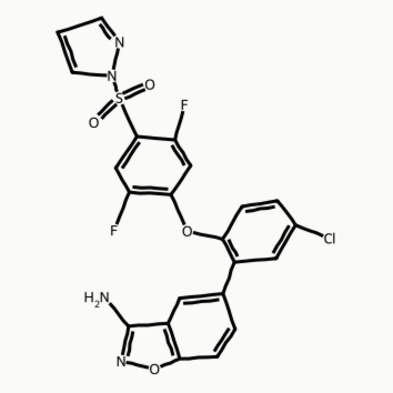 Nc1noc2ccc(-c3cc(Cl)ccc3Oc3cc(F)c(S(=O)(=O)n4cccn4)cc3F)cc12